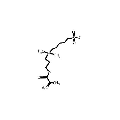 C=C(C)C(=O)OCCC[N+](C)(C)CCCCCS(=O)(=O)[O-]